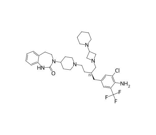 Nc1c(Cl)cc(C[C@@H](CCN2CCC(N3CCc4ccccc4NC3=O)CC2)CN2CC(N3CCCCC3)C2)cc1C(F)(F)F